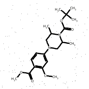 COC(=O)c1ccc(N2CC(C)N(C(=O)OC(C)(C)C)C(C)C2)cc1OC